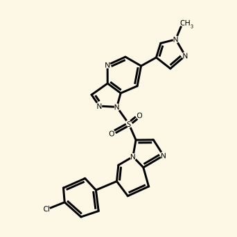 Cn1cc(-c2cnc3cnn(S(=O)(=O)c4cnc5ccc(-c6ccc(Cl)cc6)cn45)c3c2)cn1